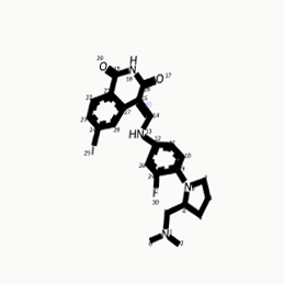 CN(C)CC1CCCN1c1ccc(N/C=C2/C(=O)NC(=O)c3ccc(I)cc32)cc1F